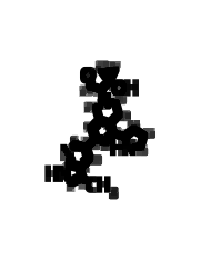 Cc1c[nH]c2ncc(-c3cc4c(c(C5CCCN5)c3)CCN(C(C=O)C3(O)CC3)C4)cc12